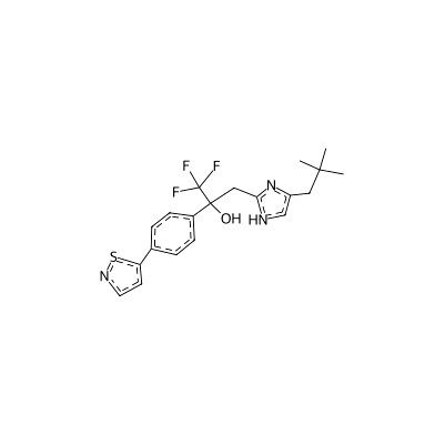 CC(C)(C)Cc1c[nH]c(CC(O)(c2ccc(-c3ccns3)cc2)C(F)(F)F)n1